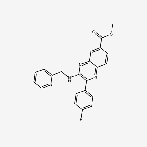 COC(=O)c1ccc2nc(-c3ccc(F)cc3)c(NCc3ccccn3)nc2c1